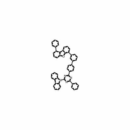 c1ccc(-c2nc(-c3ccc(-c4cccc(-c5cccc6c5oc5cccc(-c7ccccc7)c56)c4)cc3)nc(-n3c4ccccc4c4ccccc43)n2)cc1